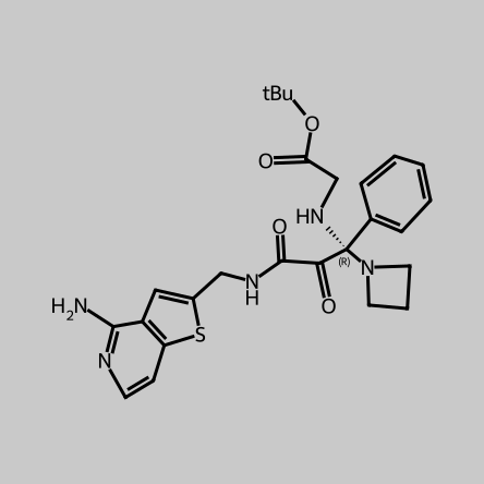 CC(C)(C)OC(=O)CN[C@](C(=O)C(=O)NCc1cc2c(N)nccc2s1)(c1ccccc1)N1CCC1